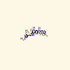 Cc1nn(C)cc1-c1cn2nc3c4ncc(NC(=O)CN5CCCC5(C)C)cc4[nH]c(=O)c3c2s1